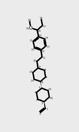 C=C[C@H]1CC[C@H](C2CCC(CCc3ccc(C(CC)OC)cc3)CC2)CC1